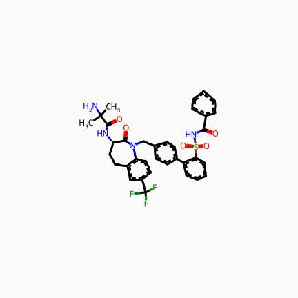 CC(C)(N)C(=O)N[C@@H]1CCc2cc(C(F)(F)F)ccc2N(Cc2ccc(-c3ccccc3S(=O)(=O)NC(=O)c3ccccc3)cc2)C1=O